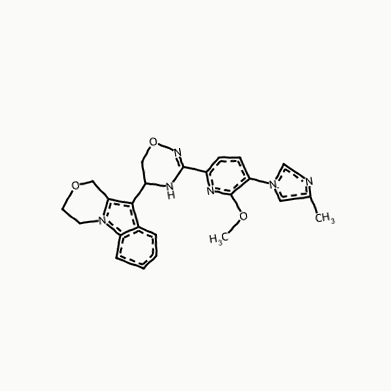 COc1nc(C2=NOCC(c3c4n(c5ccccc35)CCOC4)N2)ccc1-n1cnc(C)c1